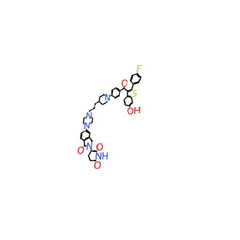 O=C1CCC(N2Cc3cc(N4CCN(CCCC5CCN(c6ccc(C(=O)c7c(-c8ccc(F)cc8)sc8cc(O)ccc78)cc6)CC5)CC4)ccc3C2=O)C(=O)N1